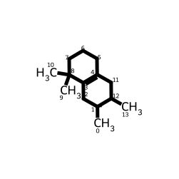 C[C]1CC2=C(CCCC2(C)C)CC1C